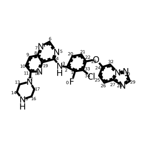 Fc1c(Nc2ncnc3ccc(N4CCNCC4)nc23)ccc(Oc2ccc3ncnn3c2)c1Cl